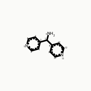 NC(c1ccncc1)c1ccncc1